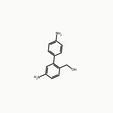 Nc1ccc(-c2cc(N)ccc2CO)cc1